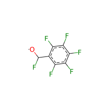 [O]C(F)c1c(F)c(F)c(F)c(F)c1F